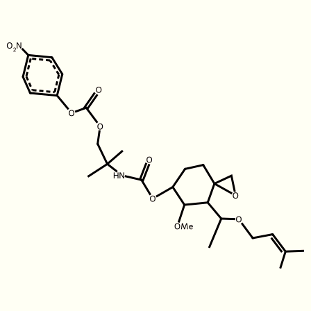 COC1C(OC(=O)NC(C)(C)COC(=O)Oc2ccc([N+](=O)[O-])cc2)CCC2(CO2)C1C(C)OCC=C(C)C